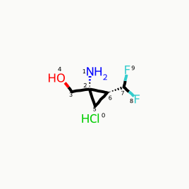 Cl.N[C@@]1(CO)C[C@H]1C(F)F